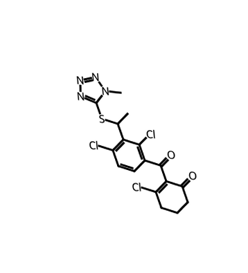 CC(Sc1nnnn1C)c1c(Cl)ccc(C(=O)C2=C(Cl)CCCC2=O)c1Cl